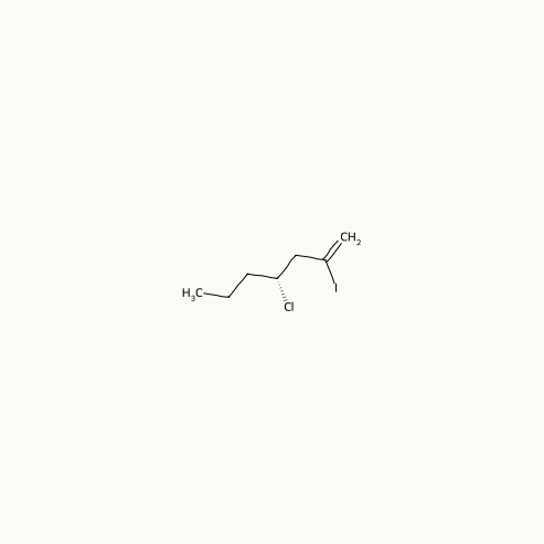 C=C(I)C[C@H](Cl)CCC